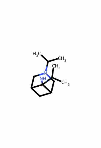 CC(C)N1CC2CC(C1)C2(N)C(C)C